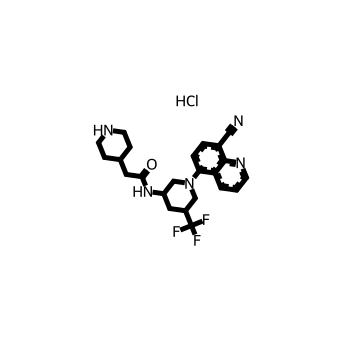 Cl.N#Cc1ccc(N2CC(NC(=O)CC3CCNCC3)CC(C(F)(F)F)C2)c2cccnc12